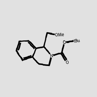 COCC1c2ccccc2CCN1C(=O)OC(C)(C)C